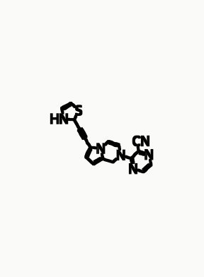 N#Cc1nccnc1N1C=Cn2c(C#CC3NC=CS3)ccc2C1